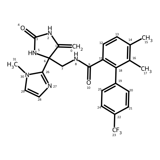 C=C1NC(=O)NC1(CNC(=O)c1ccc(C)c(C)c1-c1ccc(C(F)(F)F)cc1)c1nccn1C